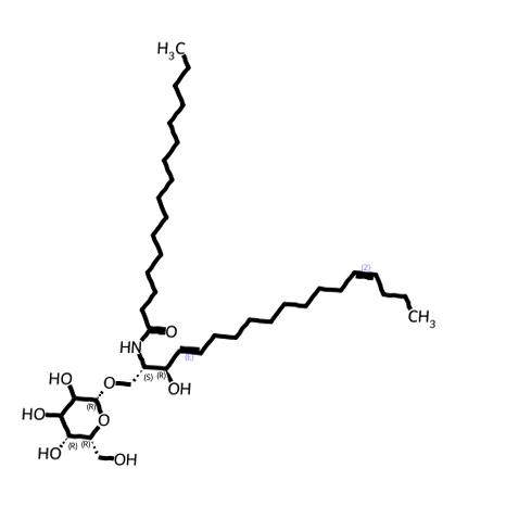 CCC/C=C\CCCCCCCC/C=C/[C@@H](O)[C@H](CO[C@@H]1O[C@H](CO)[C@H](O)C(O)C1O)NC(=O)CCCCCCCCCCCCCCC